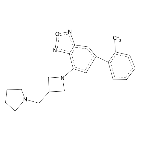 FC(F)(F)c1ccccc1-c1cc(N2CC(CN3CCCC3)C2)c2nonc2c1